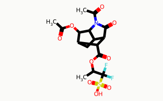 CC(=O)OC1C2CC3C(C(=O)N(C(C)=O)C31)C2C(=O)OC(C)C(F)(F)S(=O)(=O)O